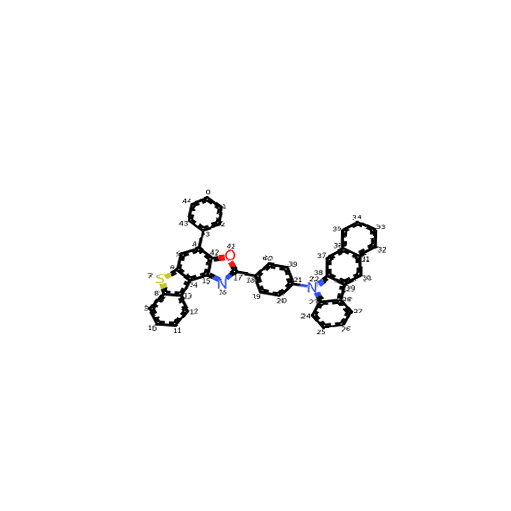 c1ccc(-c2cc3sc4ccccc4c3c3nc(-c4ccc(-n5c6ccccc6c6cc7ccccc7cc65)cc4)oc23)cc1